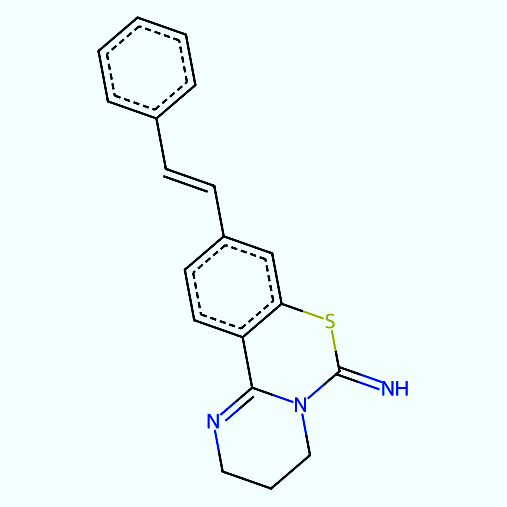 N=C1Sc2cc(/C=C/c3ccccc3)ccc2C2=NCCCN12